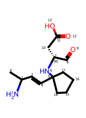 CC(N)C=CC1(N[C@@H](C=O)CC(=O)O)CCCC1